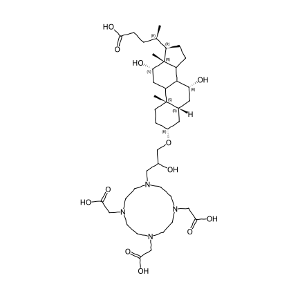 C[C@H](CCC(=O)O)[C@H]1CCC2C3C(C[C@H](O)[C@@]21C)[C@@]1(C)CC[C@@H](OCC(O)CN2CCN(CC(=O)O)CCN(CC(=O)O)CCN(CC(=O)O)CC2)C[C@H]1C[C@H]3O